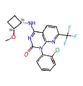 CO[C@H]1CC[C@@H]1Nc1nc(=O)n(-c2ccccc2Cl)c2nc(C(F)(F)F)ccc12